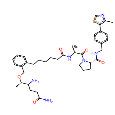 Cc1ncsc1-c1ccc(CNC(=O)[C@@H]2CCCN2C(=O)[C@@H](NC(=O)CCCCCc2ccccc2CO[C@H](C)[C@@H](N)CCC(N)=O)C(C)(C)C)cc1